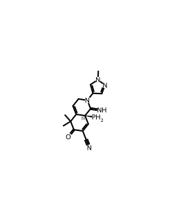 Cn1cc(N2CC=C3C(C)(C)C(=O)C(C#N)=C[C@@]3(P)C2=N)cn1